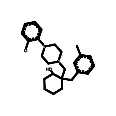 Cc1cccc(CC2(CN3CCN(c4ccccc4Cl)CC3)CCCCC2O)c1